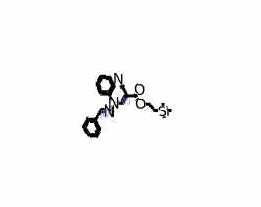 C[Si](C)(C)CCOC(=O)/C(C#N)=C/N(/N=C/c1ccccc1)c1ccccc1